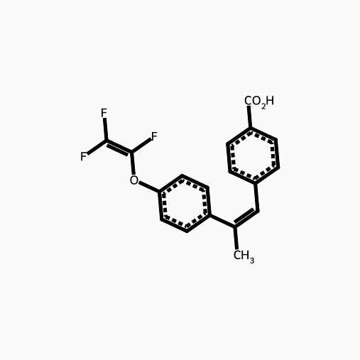 CC(=Cc1ccc(C(=O)O)cc1)c1ccc(OC(F)=C(F)F)cc1